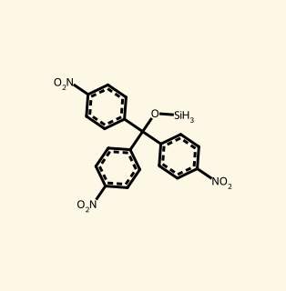 O=[N+]([O-])c1ccc(C(O[SiH3])(c2ccc([N+](=O)[O-])cc2)c2ccc([N+](=O)[O-])cc2)cc1